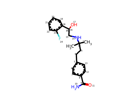 CC(C)(CCc1ccc(C(N)=O)cc1)NC[C@H](O)c1ccccc1F